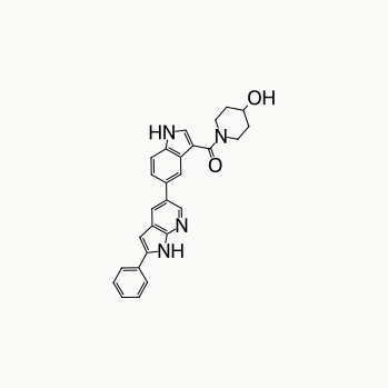 O=C(c1c[nH]c2ccc(-c3cnc4[nH]c(-c5ccccc5)cc4c3)cc12)N1CCC(O)CC1